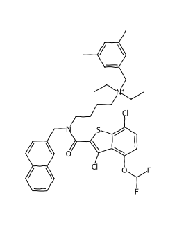 CC[N+](CC)(CCCCN(Cc1ccc2ccccc2c1)C(=O)c1sc2c(Cl)ccc(OC(F)F)c2c1Cl)Cc1cc(C)cc(C)c1